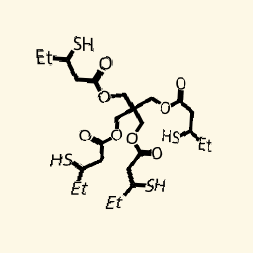 CCC(S)CC(=O)OCC(COC(=O)CC(S)CC)(COC(=O)CC(S)CC)COC(=O)CC(S)CC